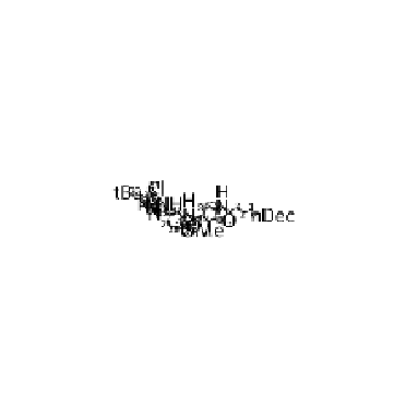 CCCCCCCCCCCCCC(=O)Nc1ccc(C(=O)Nc2cc(-c3nn4nc(C(C)(C)C)c(Cl)c4[nH]3)ccc2OC)cc1